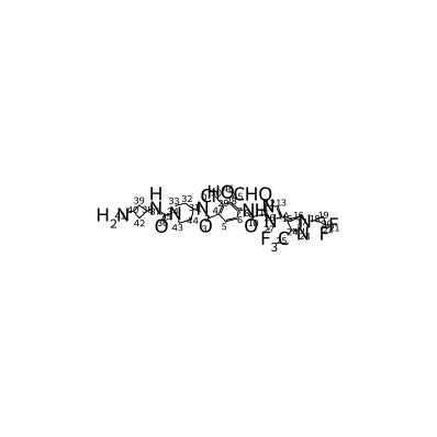 CN(C(=O)c1ccc(NC(=O)c2ncc(-c3cn(C4CC4(F)F)nc3C(F)(F)F)n2C)cc1Cl)C1CCN(C(=O)NC2CC(N)C2)CC1.O=CO